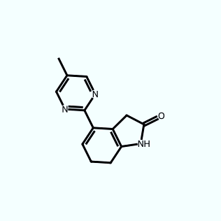 Cc1cnc(C2=CCCC3=C2CC(=O)N3)nc1